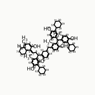 C=C(C)/C=C(O)\C(=C/CC(C1=C(O)C=CC(Cc2ccc(O)c(C(c3cc(C4CCCCC4)c(O)cc3C)c3cc(C4CCCCC4)c(O)cc3C)c2)C1)c1cc(C2CCCCC2)c(O)cc1C)C1CCCCC1